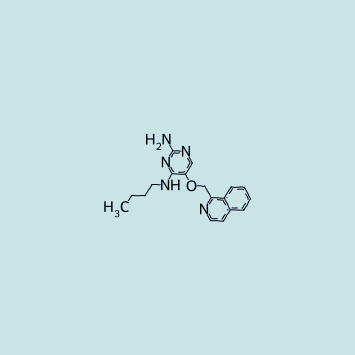 CCCCNc1nc(N)ncc1OCc1nccc2ccccc12